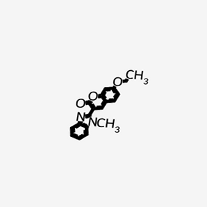 CCOc1ccc2cc(-c3nc4ccccc4n3C)c(=O)oc2c1